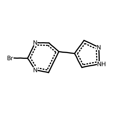 Brc1ncc(-c2cn[nH]c2)cn1